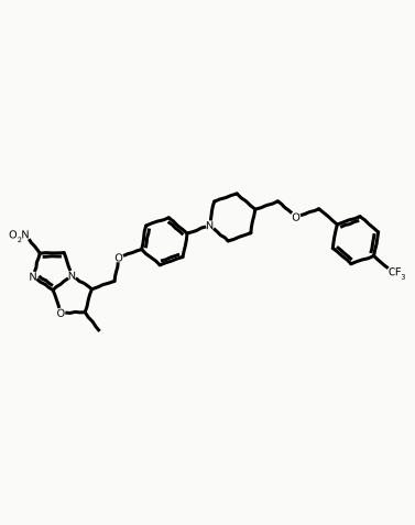 CC1Oc2nc([N+](=O)[O-])cn2C1COc1ccc(N2CCC(COCc3ccc(C(F)(F)F)cc3)CC2)cc1